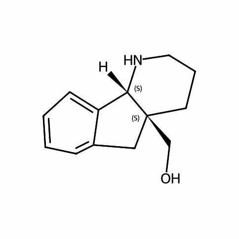 OC[C@]12CCCN[C@H]1c1ccccc1C2